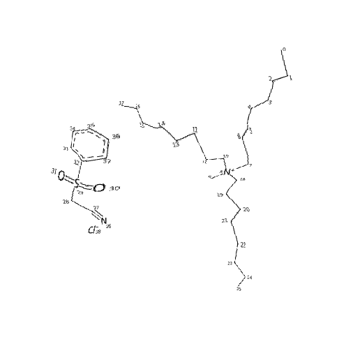 CCCCCCCC[N+](C)(CCCCCCCC)CCCCCCCC.N#CCS(=O)(=O)c1ccccc1.[Cl-]